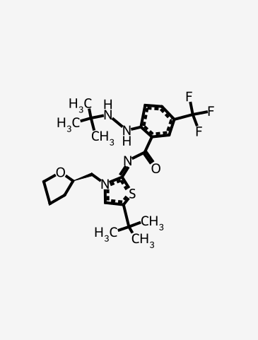 CC(C)(C)NNc1ccc(C(F)(F)F)cc1C(=O)N=c1sc(C(C)(C)C)cn1C[C@H]1CCCO1